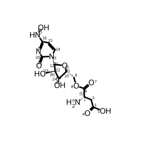 N[C@@H](CC(=O)O)C(=O)OC[C@H]1O[C@@H](n2ccc(NO)nc2=O)[C@H](O)[C@@H]1O